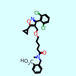 CN(Cc1ccccc1C(=O)O)C(=O)CCCCOCc1c(-c2c(Cl)cccc2Cl)noc1C1CC1